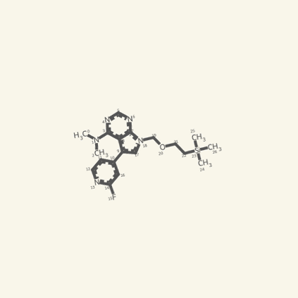 CN(C)c1ncnc2c1c(-c1ccnc(F)c1)cn2COCC[Si](C)(C)C